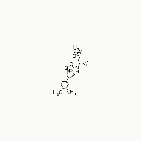 Cc1ccc(-c2ccc(C(=O)N[C@H](/C=C/S(C)(=O)=O)C3CC3)[n+]([O-])c2)cc1C